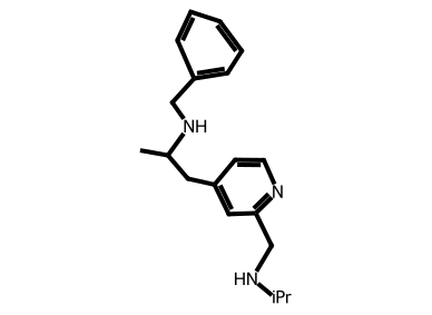 CC(C)NCc1cc(CC(C)NCc2ccccc2)ccn1